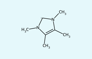 CC1=C(C)N(C)[C]N1C